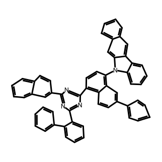 c1ccc(-c2ccc3c(-c4nc(-c5ccc6ccccc6c5)nc(-c5ccccc5-c5ccccc5)n4)ccc(-n4c5ccccc5c5cc6ccccc6cc54)c3c2)cc1